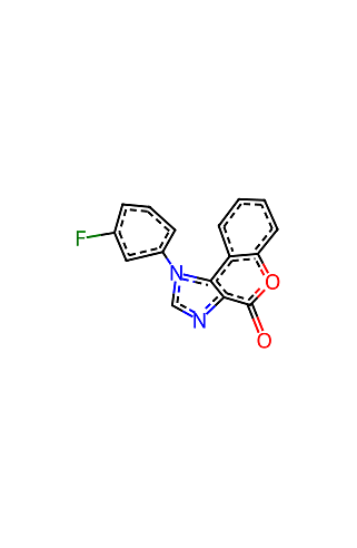 O=c1oc2ccccc2c2c1ncn2-c1cccc(F)c1